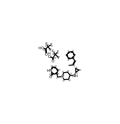 C/C(=C\c1ccccc1)[C@@H]1C[C@H]1NC1CCN(Cc2ccc[nH]c2=O)CC1.O=C(O)C(F)(F)F.O=C(O)C(F)(F)F